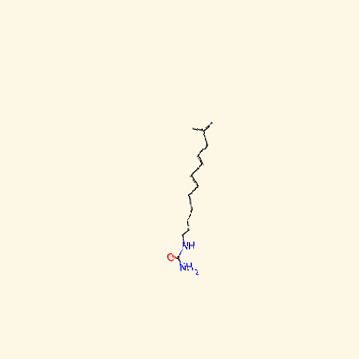 CC(C)CCCCCCCCCCNC(N)=O